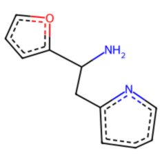 NC(Cc1ccccn1)c1ccco1